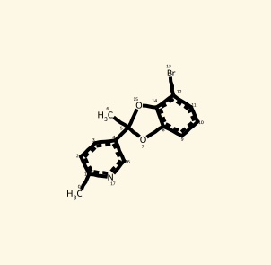 Cc1ccc(C2(C)Oc3cccc(Br)c3O2)cn1